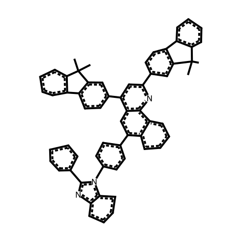 CC1(C)c2ccccc2-c2ccc(-c3cc(-c4ccc5c(c4)C(C)(C)c4ccccc4-5)c4cc(-c5ccc(-n6c(-c7ccccc7)nc7ccccc76)cc5)c5ccccc5c4n3)cc21